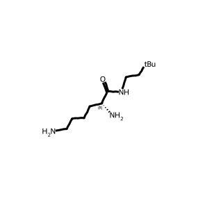 CC(C)(C)CCNC(=O)[C@H](N)CCCCN